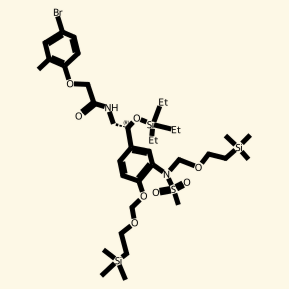 CC[Si](CC)(CC)O[C@@H](CNC(=O)COc1ccc(Br)cc1C)c1ccc(OCOCC[Si](C)(C)C)c(N(COCC[Si](C)(C)C)S(C)(=O)=O)c1